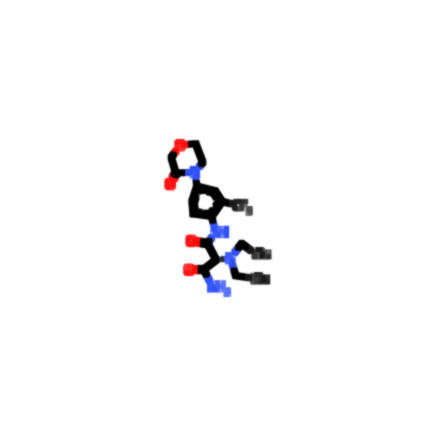 CC(C)(C)CN(CC(C)(C)C)[C@H](C(N)=O)C(=O)Nc1ccc(N2CCOCC2=O)cc1C(F)(F)F